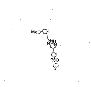 COc1ccnc(CCc2nc3cc(-c4ccc(S(=O)(=O)N5CCSCC5)cc4)cnc3[nH]2)c1